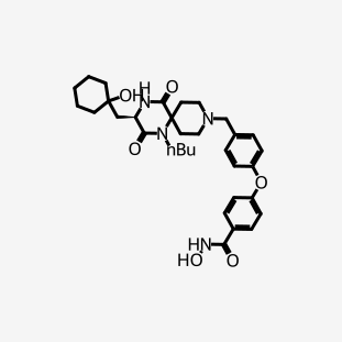 CCCCN1C(=O)[C@@H](CC2(O)CCCCC2)NC(=O)C12CCN(Cc1ccc(Oc3ccc(C(=O)NO)cc3)cc1)CC2